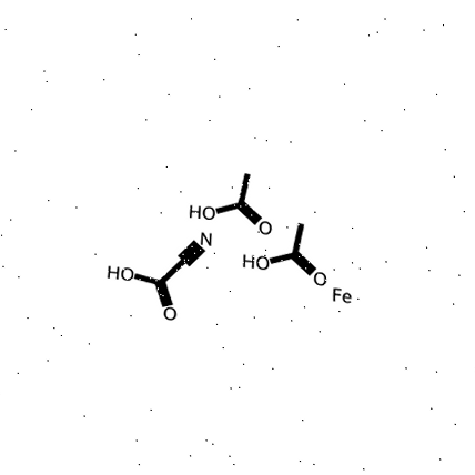 CC(=O)O.CC(=O)O.N#CC(=O)O.[Fe]